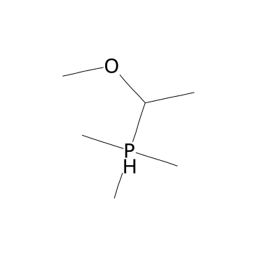 COC(C)[PH](C)(C)C